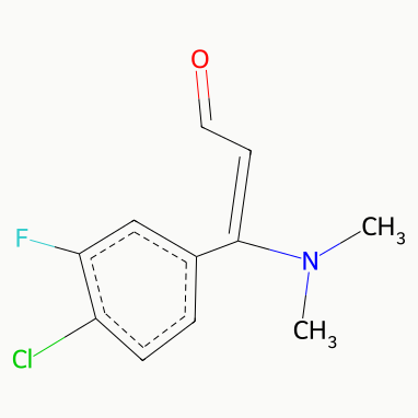 CN(C)/C(=C/C=O)c1ccc(Cl)c(F)c1